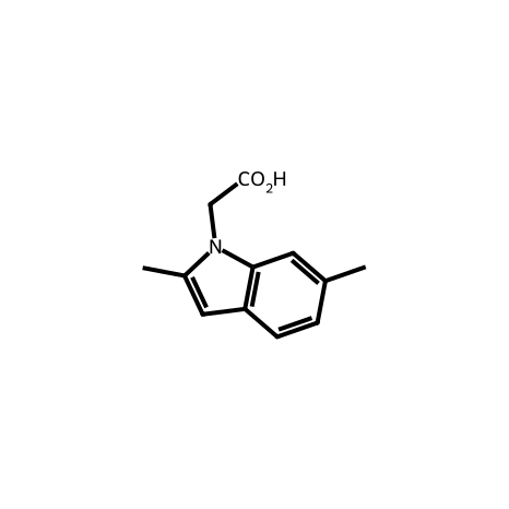 Cc1ccc2cc(C)n(CC(=O)O)c2c1